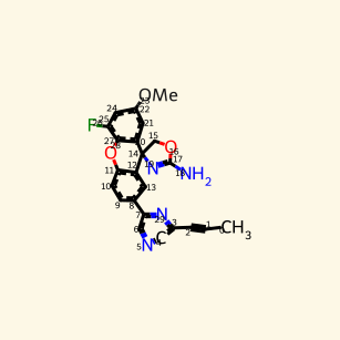 CC#Cc1cncc(-c2ccc3c(c2)C2(COC(N)=N2)c2cc(OC)cc(F)c2O3)n1